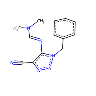 CN(C)/C=N/c1c(C#N)nnn1Cc1ccccc1